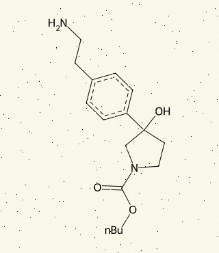 CCCCOC(=O)N1CCC(O)(c2ccc(CCN)cc2)C1